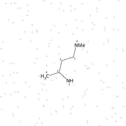 CNCCC(C)[NH]